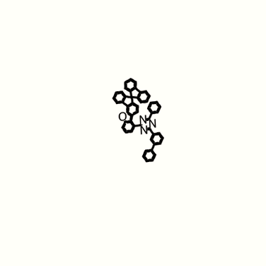 c1ccc(-c2cccc(-c3nc(-c4ccccc4)nc(-c4cccc5oc6c7c(ccc6c45)C4(c5ccccc5-c5ccccc54)c4ccccc4-7)n3)c2)cc1